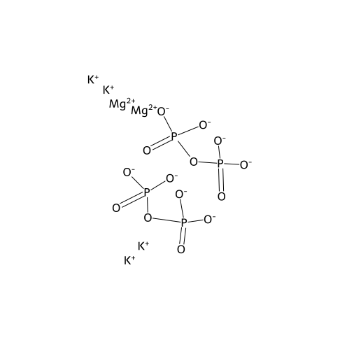 O=P([O-])([O-])OP(=O)([O-])[O-].O=P([O-])([O-])OP(=O)([O-])[O-].[K+].[K+].[K+].[K+].[Mg+2].[Mg+2]